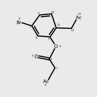 CC(=O)CC(=O)Oc1cc(Br)ccc1CC(C)=O